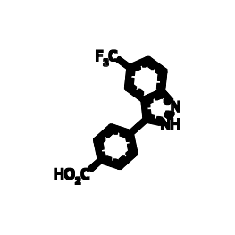 O=C(O)c1ccc(-c2[nH]nc3ccc(C(F)(F)F)cc23)cc1